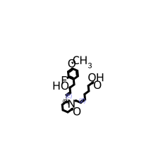 COc1ccc(CC(O)/C=C/[C@H]2CCCC(=O)N2C/C=C\CCCC(=O)O)c(F)c1